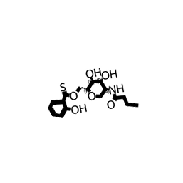 CCCC(=O)N[C@H]1CO[C@H](COC(=S)c2ccccc2O)[C@@H](O)[C@@H]1O